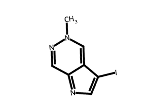 Cn1cc2c(I)cnc-2cn1